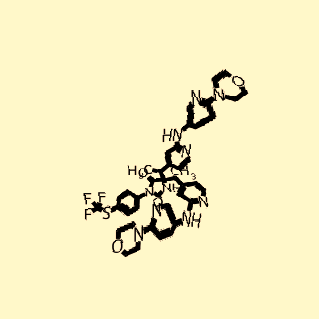 CC(c1ccnc(Nc2ccc(N3CCOCC3)nc2)c1)C1(C(C)c2ccnc(Nc3ccc(N4CCOCC4)nc3)c2)NC(=O)N(c2ccc(SC(F)(F)F)cc2)C1=O